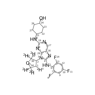 [2H]C1C(n2c(Nc3c(F)cc(F)cc3F)nc3cnc(NC4CCC(O)CC4)nc32)C([2H])([2H])OC1([2H])[2H]